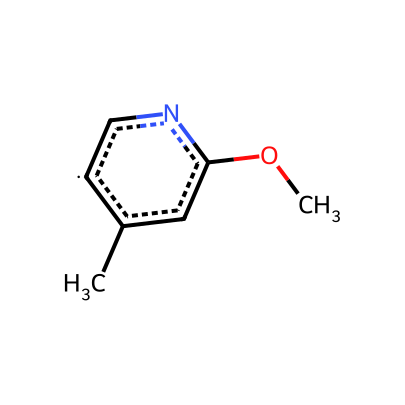 COc1cc(C)[c]cn1